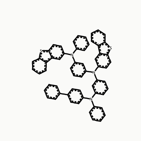 c1ccc(-c2ccc(N(c3ccccc3)c3cccc(N(c4cccc(N(c5ccccc5)c5ccc6sc7ccccc7c6c5)c4)c4ccc5sc6ccccc6c5c4)c3)cc2)cc1